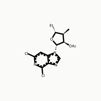 CC[C@H]1O[C@@H](n2cnc3c(Cl)nc(Cl)cc32)[C@H](OC(C)=O)[C@@H]1C